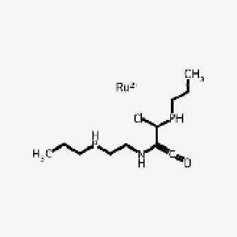 CCCPCCNC(=C=O)C(Cl)PCCC.[Ru+2]